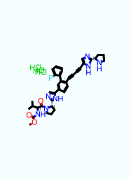 COC(=O)N[C@H](C(=O)N1CCC[C@H]1c1ncc(-c2ccc(C#CC#Cc3cnc([C@@H]4CCCN4)[nH]3)c(-c3ccccc3F)c2)[nH]1)C(C)C.Cl.Cl.Cl